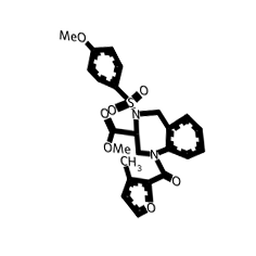 COC(=O)C1CN(C(=O)c2occc2C)c2ccccc2CN1S(=O)(=O)c1ccc(OC)cc1